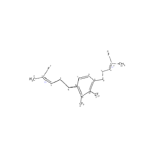 C/C(F)=C/CCc1ccc(CC/C=C(/C)F)c(C(F)(F)F)c1C(F)(F)F